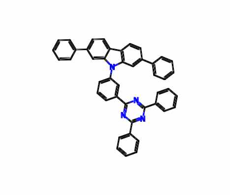 c1ccc(-c2ccc3c4ccc(-c5ccccc5)cc4n(-c4cccc(-c5nc(-c6ccccc6)nc(-c6ccccc6)n5)c4)c3c2)cc1